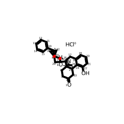 Cl.O=C1CC[C@@]2(OCCCc3ccccc3)[C@H]3Cc4cccc(O)c4[C@@]2(CCN3CC2CC2)C1